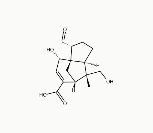 C[C@@]1(CO)[C@H]2C[C@]3([C@H](C=O)CC[C@@H]13)[C@@H](O)C=C2C(=O)O